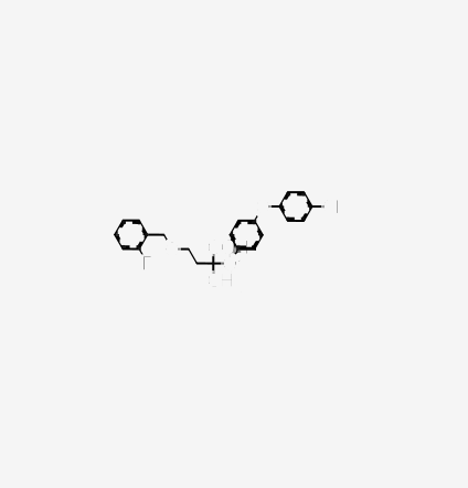 CC(CCOCc1ccccc1F)(Oc1ccc(Oc2ccc(C(F)(F)F)cc2)cc1)C(=O)O